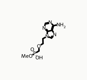 COP(=O)(O)COCCn1cnc2c(N)ncnc21